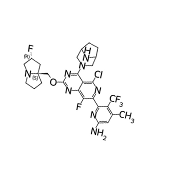 Cc1cc(N)nc(-c2nc(Cl)c3c(N4CC5CCC(C4)N5)nc(OC[C@@]45CCCN4C[C@H](F)C5)nc3c2F)c1C(F)(F)F